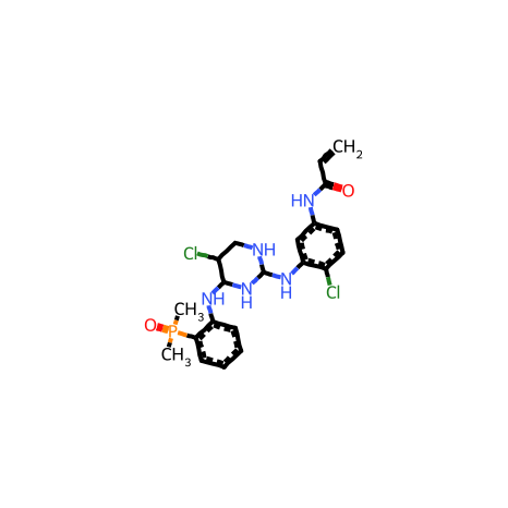 C=CC(=O)Nc1ccc(Cl)c(NC2NCC(Cl)C(Nc3ccccc3P(C)(C)=O)N2)c1